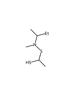 CCC(C)N(C)SC(C)S